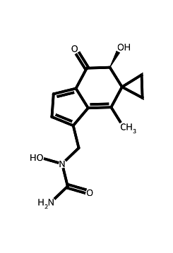 CC1=C2C(CN(O)C(N)=O)=CC=C2C(=O)[C@@H](O)C12CC2